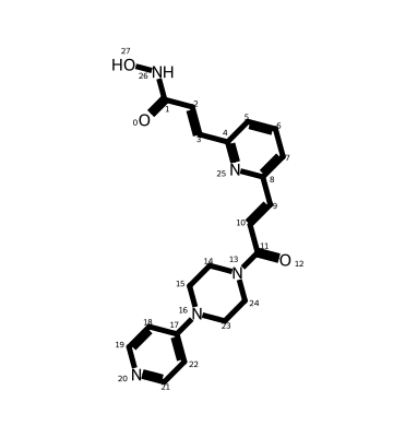 O=C(C=Cc1cccc(C=CC(=O)N2CCN(c3ccncc3)CC2)n1)NO